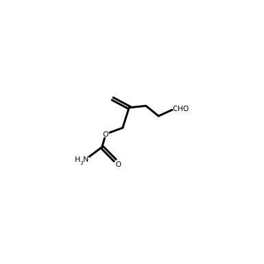 C=C(CCC=O)COC(N)=O